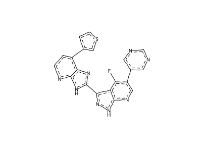 Fc1c(-c2cncnc2)cnc2[nH]nc(-c3nc4c(-c5ccsc5)ccnc4[nH]3)c12